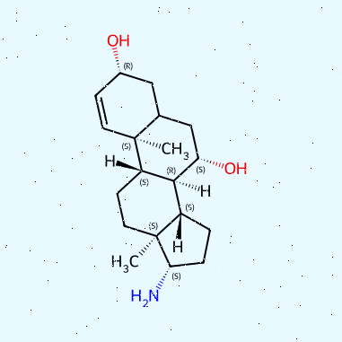 C[C@]12CC[C@H]3[C@@H]([C@@H](O)CC4C[C@@H](O)C=C[C@@]43C)[C@@H]1CC[C@@H]2N